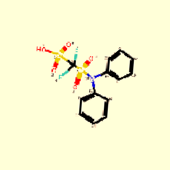 O=S(=O)(O)C(F)(F)S(=O)(=O)N(c1ccccc1)c1ccccc1